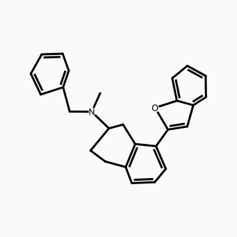 CN(Cc1ccccc1)C1CCc2cccc(-c3cc4ccccc4o3)c2C1